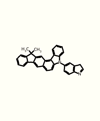 CC1(C)c2ccccc2-c2cc3ccc4c(c3cc21)c1ccccc1n4-c1ccc2c(c1)CC=N2